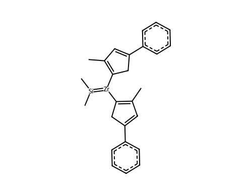 CC1=[C]([Zr]([C]2=C(C)C=C(c3ccccc3)C2)=[Si](C)C)CC(c2ccccc2)=C1